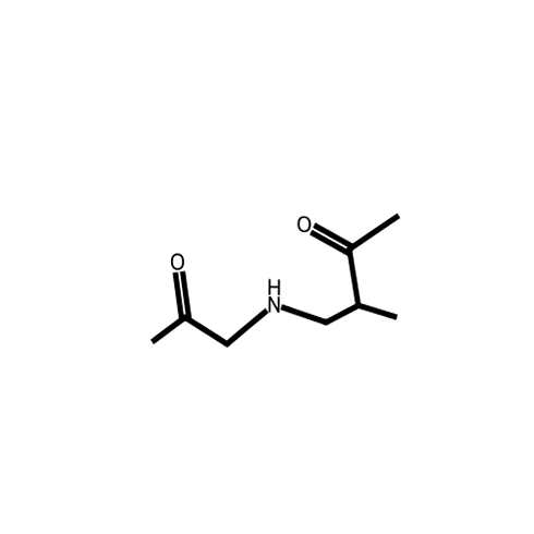 CC(=O)CNCC(C)C(C)=O